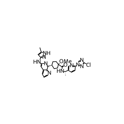 CO[C@]1(C(=O)N[C@@H](C)c2ccc(-n3cnc(Cl)n3)nc2)CC[C@H](c2nc(Nc3cc(C)[nH]n3)cc3cccnc32)CC1